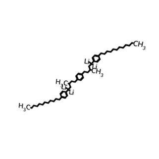 [Li][C]([Li])(CC(C)CCc1ccc(CCC(C)C[C]([Li])([Li])c2ccc(CCCCCCCCCCCC)cc2)cc1)c1ccc(CCCCCCCCCCCC)cc1